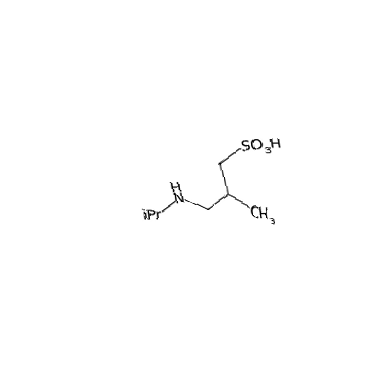 CC(CNC(C)C)CS(=O)(=O)O